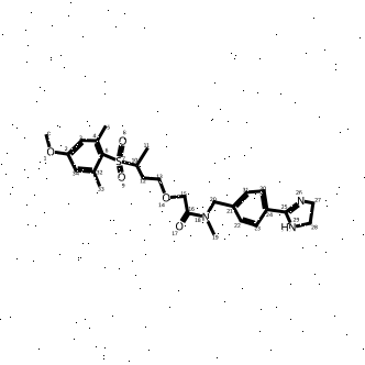 COc1cc(C)c(S(=O)(=O)C(C)CCOCC(=O)N(C)Cc2ccc(C3=NCCN3)cc2)c(C)c1